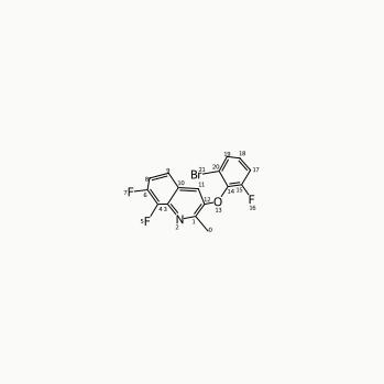 Cc1nc2c(F)c(F)ccc2cc1Oc1c(F)cccc1Br